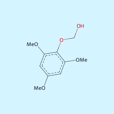 COc1cc(OC)c(OCO)c(OC)c1